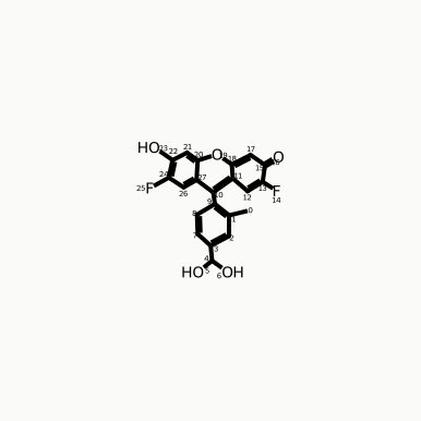 Cc1cc(C(O)O)ccc1-c1c2cc(F)c(=O)cc-2oc2cc(O)c(F)cc12